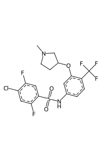 CN1CCC(Oc2cc(NS(=O)(=O)c3cc(F)c(Cl)cc3F)ccc2C(F)(F)F)C1